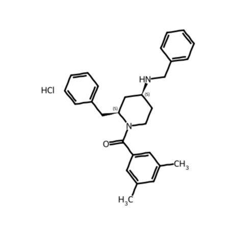 Cc1cc(C)cc(C(=O)N2CC[C@H](NCc3ccccc3)C[C@@H]2Cc2ccccc2)c1.Cl